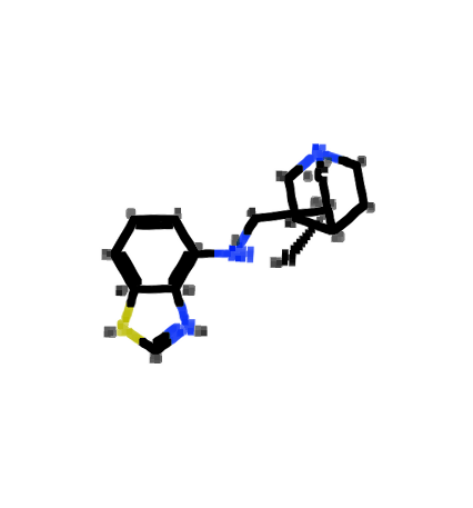 c1cc(NC[C@H]2CN3CCC2CC3)c2ncsc2c1